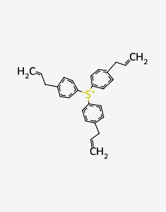 C=CCc1ccc([S+](c2ccc(CC=C)cc2)c2ccc(CC=C)cc2)cc1